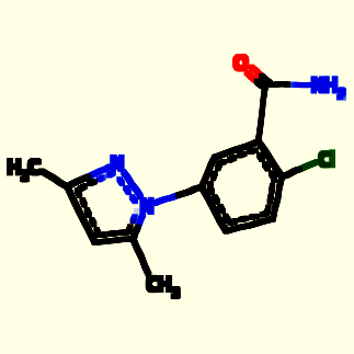 Cc1cc(C)n(-c2ccc(Cl)c(C(N)=O)c2)n1